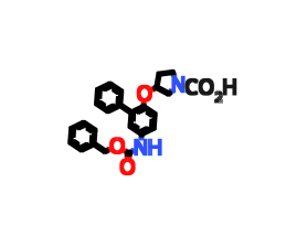 O=C(Nc1ccc(OC2CCN(C(=O)O)C2)c(-c2ccccc2)c1)OCc1ccccc1